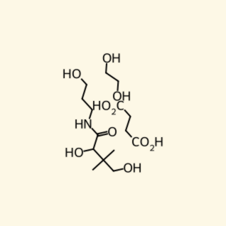 CC(C)(CO)C(O)C(=O)NCCCO.O=C(O)CCC(=O)O.OCCO